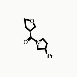 CC(C)C1CCN(C(=O)[C@H]2CCOC2)C1